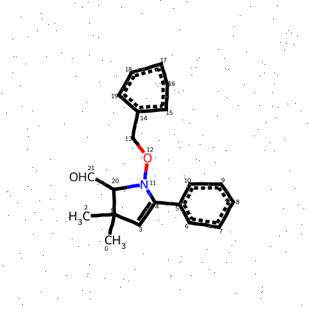 CC1(C)C=C(c2ccccc2)N(OCc2ccccc2)C1C=O